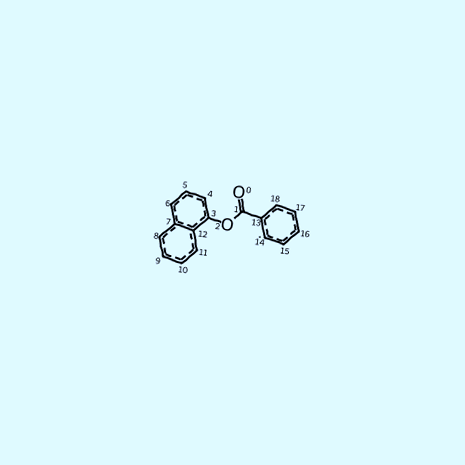 O=C(Oc1cccc2ccccc12)c1[c]cccc1